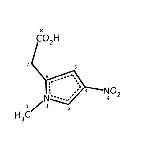 Cn1cc([N+](=O)[O-])cc1CC(=O)O